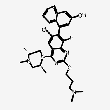 C[C@@H]1CN(c2nc(OCCCN(C)C)nc3c(F)c(-c4cc(O)cc5ccccc45)c(Cl)cc23)[C@@H](C)CN1C